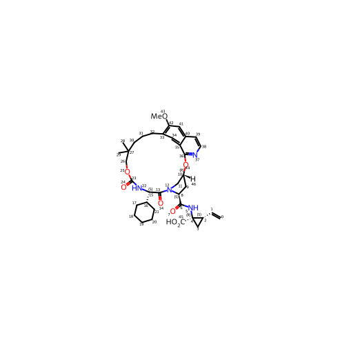 C=C[C@@H]1C[C@]1(NC(=O)[C@@H]1C[C@@H]2CN1C(=O)[C@H](C1CCCCC1)NC(=O)OCC(C)(C)CCCc1cc3c(nccc3cc1OC)O2)C(=O)O